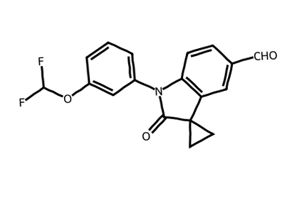 O=Cc1ccc2c(c1)C1(CC1)C(=O)N2c1cccc(OC(F)F)c1